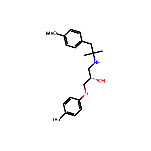 COc1ccc(CC(C)(C)NC[C@H](O)COc2ccc(C(C)(C)C)cc2)cc1